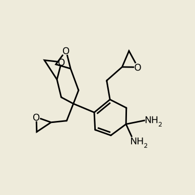 NC1(N)C=CC(C(CC2CO2)(CC2CO2)CC2CO2)=C(CC2CO2)C1